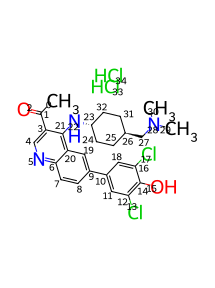 CC(=O)c1cnc2ccc(-c3cc(Cl)c(O)c(Cl)c3)cc2c1N[C@H]1CC[C@H](CN(C)C)CC1.Cl.Cl